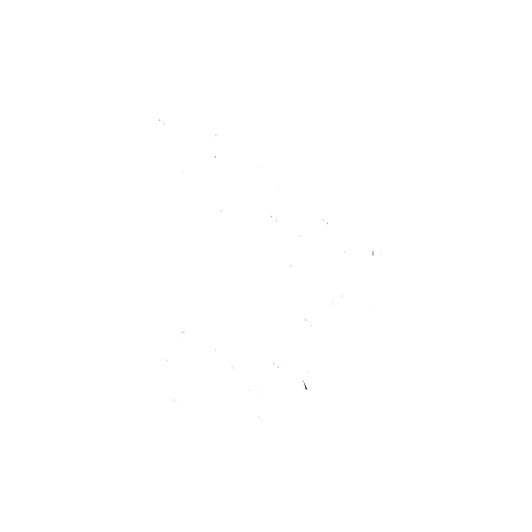 CC(C)c1nc(N2CCC(C3CCNCC3)CC2)sc1C(=O)NC[C@H](NC(=O)c1ccccc1)C(=O)O